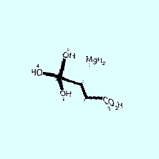 O=C(O)CCC(O)(O)O.[MgH2]